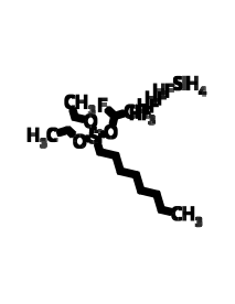 CCCCCCCC[Si](OCC)(OCC)OC(C)F.F.F.F.F.[SiH4]